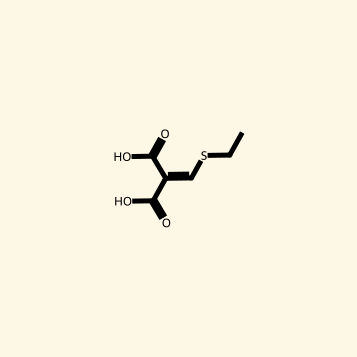 CCSC=C(C(=O)O)C(=O)O